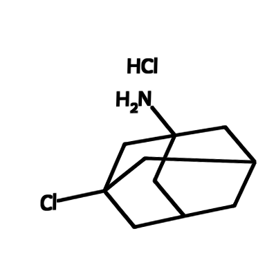 Cl.NC12CC3CC(C1)CC(Cl)(C3)C2